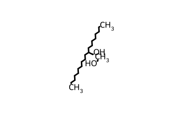 CCCCCCCCCCC(CO)CCCCCCCC.CCO